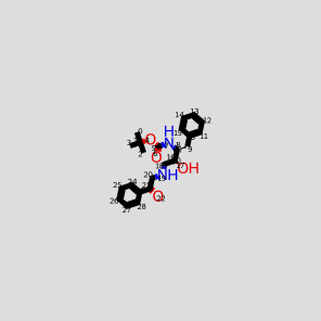 CC(C)(C)OC(=O)N[C@H](Cc1ccccc1)[C@@H](O)CNCC(=O)c1ccccc1